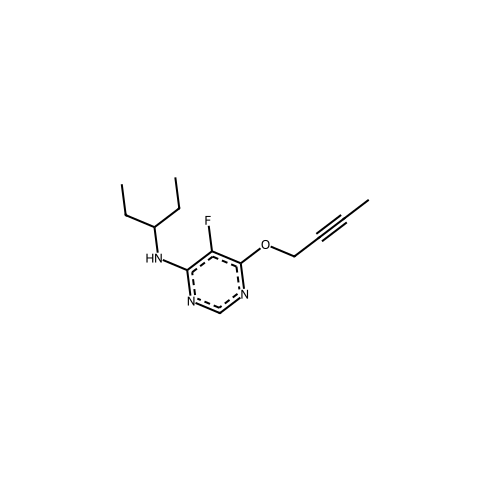 CC#CCOc1ncnc(NC(CC)CC)c1F